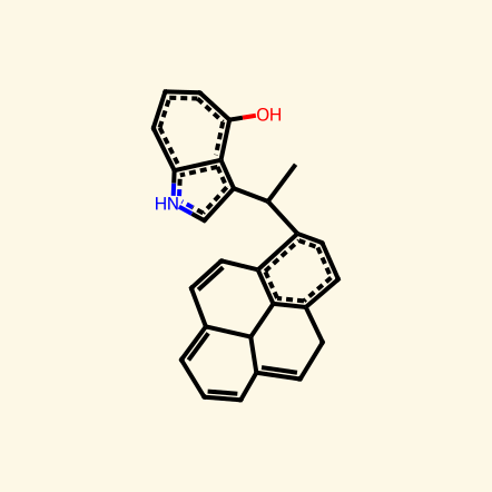 CC(c1ccc2c3c1C=CC1=CC=CC(=CC2)C13)c1c[nH]c2cccc(O)c12